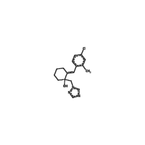 Cc1cc(Cl)ccc1C=C1CCCCC1(O)Cn1cncn1